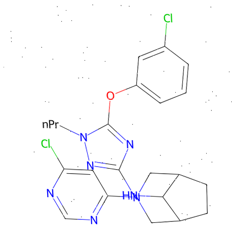 CCCn1nc(NC2C3CCC2CN(c2cc(Cl)ncn2)C3)nc1Oc1cccc(Cl)c1